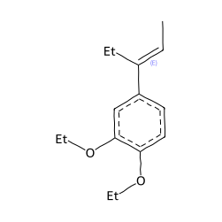 C/C=C(\CC)c1ccc(OCC)c(OCC)c1